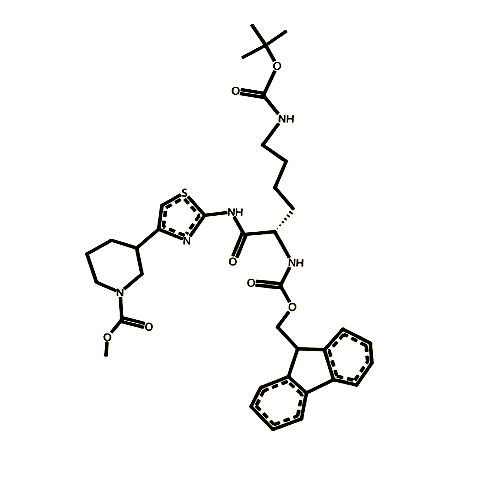 COC(=O)N1CCCC(c2csc(NC(=O)[C@H](CCCCNC(=O)OC(C)(C)C)NC(=O)OCC3c4ccccc4-c4ccccc43)n2)C1